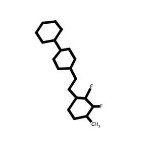 CC1CCC(CCC2CCC(C3CCCCC3)CC2)C(F)C1F